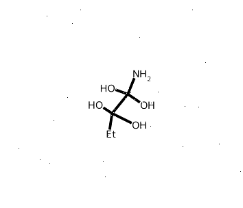 CCC(O)(O)C(N)(O)O